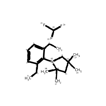 CCc1cccc(CC)c1N1CC(C)(C)CC1(C)C.FC(F)F